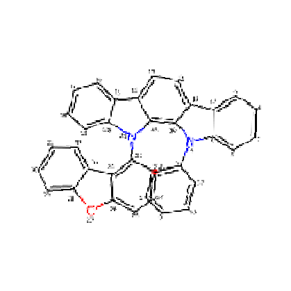 c1ccc(-n2c3ccccc3c3ccc4c5ccccc5n(-c5cccc6oc7ccccc7c56)c4c32)cc1